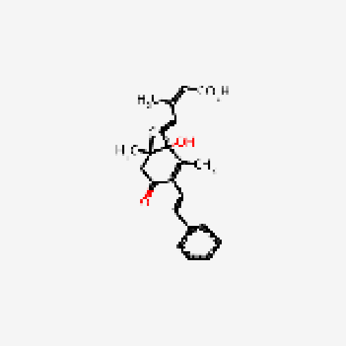 CC1=C(/C=C/c2ccccc2)C(=O)CC(C)(C)[C@@]1(O)/C=C/C(C)=C\C(=O)O